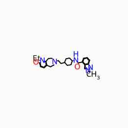 CCOc1ccc2c(n1)CCN(CCC1CCC(NC(=O)c3cccc4nn(C)cc34)CC1)CC2